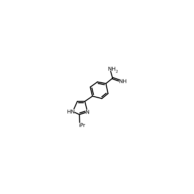 CC(C)c1nc(-c2ccc(C(=N)N)cc2)c[nH]1